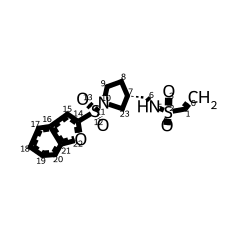 C=CS(=O)(=O)NC[C@H]1CCN(S(=O)(=O)c2cc3ccccc3o2)C1